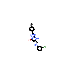 CC(C)(C)c1ccc(-c2nc3[nH]c(CNc4cccc(Cl)c4)cc(=O)n3n2)cc1